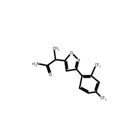 CC(C(N)=O)c1cc(-c2ccc(C(F)(F)F)cc2C(F)(F)F)no1